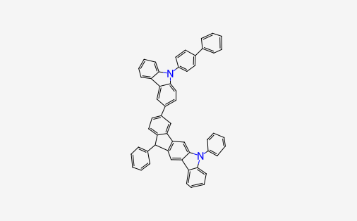 c1ccc(-c2ccc(-n3c4ccccc4c4cc(-c5ccc6c(c5)-c5cc7c(cc5C6c5ccccc5)c5ccccc5n7-c5ccccc5)ccc43)cc2)cc1